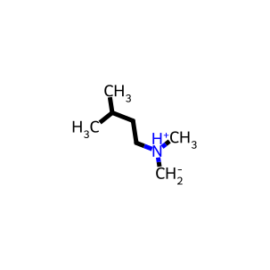 [CH2-][NH+](C)CCC(C)C